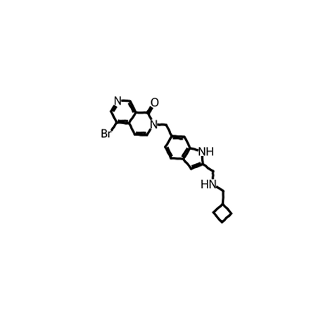 O=c1c2cncc(Br)c2ccn1Cc1ccc2cc(CNCC3CCC3)[nH]c2c1